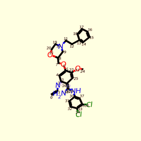 C=C/N=C1/C=C(OCC2CN(CCc3ccccc3)CCO2)C(OC)=C/C1=C(/N)Nc1ccc(Cl)c(Cl)c1